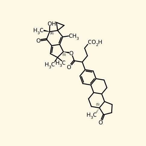 CC1=C2C(=CC(C)(C)[C@@H]2OC(=O)C(CCC(=O)O)c2ccc3c(c2)CCC2C3CC[C@]3(C)C(=O)CCC23)C(=O)[C@](C)(O)C12CC2